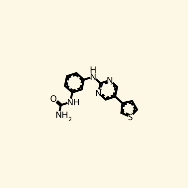 NC(=O)Nc1cccc(Nc2ncc(-c3ccsc3)cn2)c1